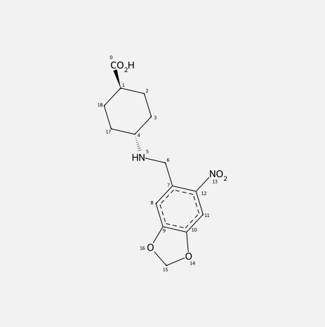 O=C(O)[C@H]1CC[C@H](NCc2cc3c(cc2[N+](=O)[O-])OCO3)CC1